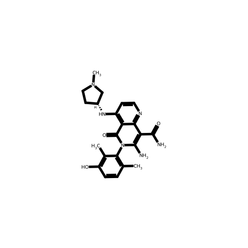 Cc1ccc(O)c(C)c1-n1c(N)c(C(N)=O)c2nccc(N[C@@H]3CCN(C)C3)c2c1=O